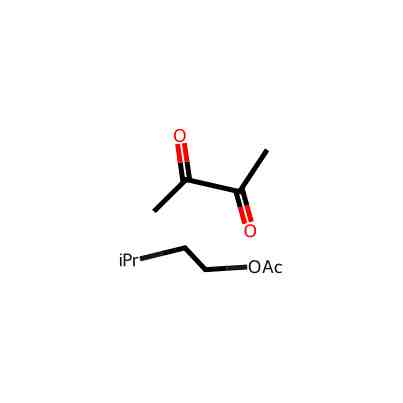 CC(=O)C(C)=O.CC(=O)OCCC(C)C